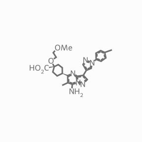 COCCO[C@]1(C(=O)O)CC[C@@H](c2nc3c(-c4cnn(-c5ccc(C)cc5)c4)cnn3c(N)c2C)CC1